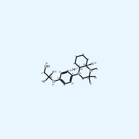 CN1[C@H]2CCCC[C@@H]2N(c2ccc(OC(F)(F)CO)cc2)CC1(C)C